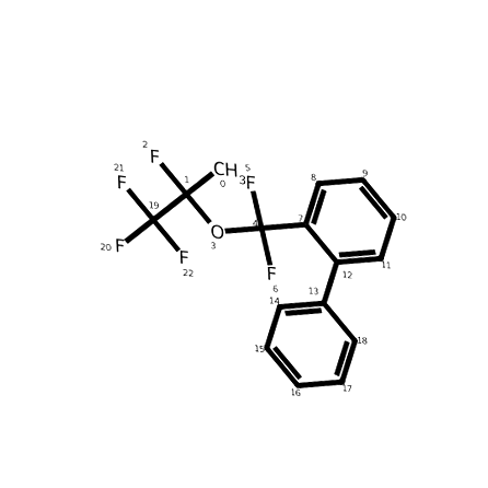 CC(F)(OC(F)(F)c1ccccc1-c1ccccc1)C(F)(F)F